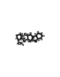 Cc1ccccc1Nc1nc2nc3ccccc3n2cc1C